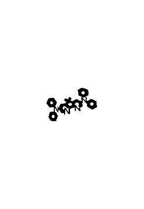 CC1(C)c2cc(N(c3ccccc3)c3ccccc3)cnc2-c2ncc(N(c3ccccc3)c3ccccc3)cc21